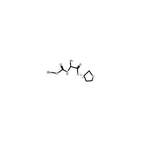 CC(C)C(NC(=O)OC(C)(C)C)C(=O)O[C@H]1CCOC1